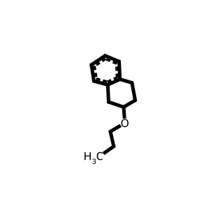 CCCOC1CCc2ccccc2C1